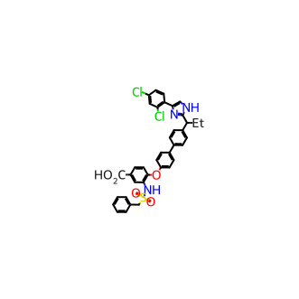 CCC(c1ccc(-c2ccc(Oc3ccc(C(=O)O)cc3NS(=O)(=O)Cc3ccccc3)cc2)cc1)c1nc(-c2ccc(Cl)cc2Cl)c[nH]1